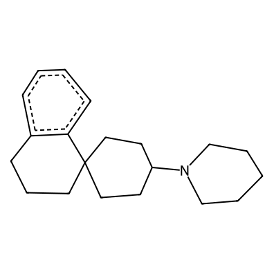 c1ccc2c(c1)CCCC21CCC(N2CCCCC2)CC1